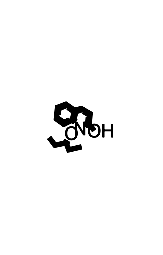 CCC(=O)CC.Oc1ccc2ccccc2n1